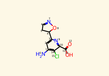 Nc1cc(C2CC=NO2)nc(C(=O)O)c1Cl